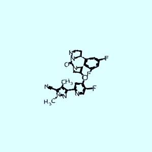 Cc1c(-c2cc(OC3CN(C(=O)N4N=CC[C@H]4c4cc(F)cc(F)c4)C3)c(F)cn2)nn(C)c1C#N